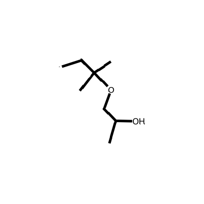 [CH2]CC(C)(C)OCC(C)O